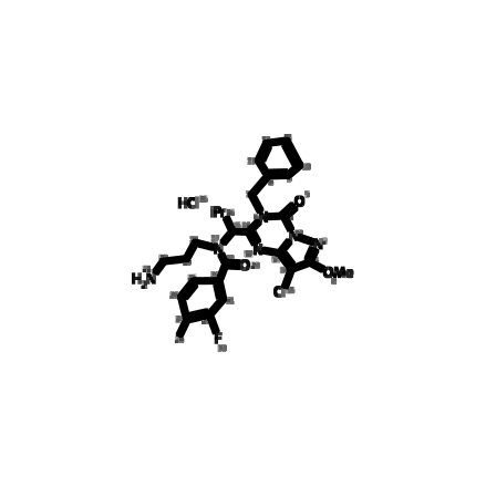 COc1nn2c(=O)n(Cc3ccccc3)c(C(C(C)C)N(CCCN)C(=O)c3ccc(C)c(F)c3)nc2c1Cl.Cl